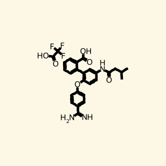 CC(C)CC(=O)Nc1ccc(Oc2ccc(C(=N)N)cc2)c(-c2ccccc2C(=O)O)c1.O=C(O)C(F)(F)F